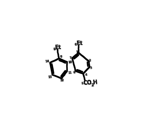 CCc1ccc(C(=O)O)cc1.CCc1ccccc1